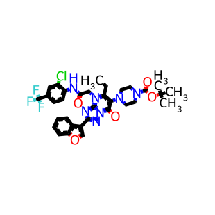 CCc1c(N2CCN(C(=O)OC(C)(C)C)CC2)c(=O)n2nc(-c3coc4ccccc34)nc2n1CC(=O)Nc1ccc(C(F)(F)F)cc1Cl